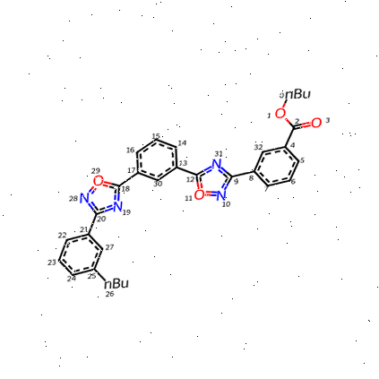 CCCCOC(=O)c1cccc(-c2noc(-c3cccc(-c4nc(-c5cccc(CCCC)c5)no4)c3)n2)c1